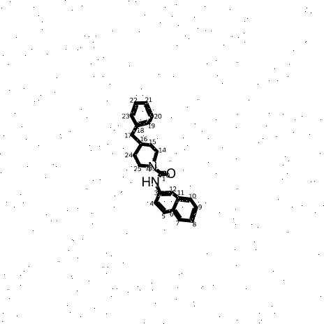 O=C(Nc1ccc2ccccc2c1)N1CCC(Cc2ccccc2)CC1